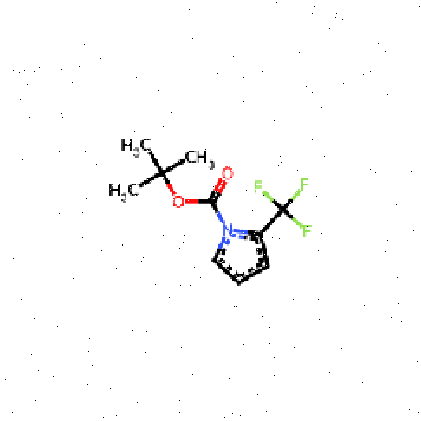 CC(C)(C)OC(=O)n1cccc1C(F)(F)F